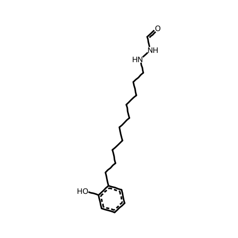 O=CNNCCCCCCCCCCc1ccccc1O